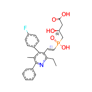 CCc1nc(-c2ccccc2)c(C)c(-c2ccc(F)cc2)c1/C=C/P(=O)(O)C[C@@H](O)CC(=O)O